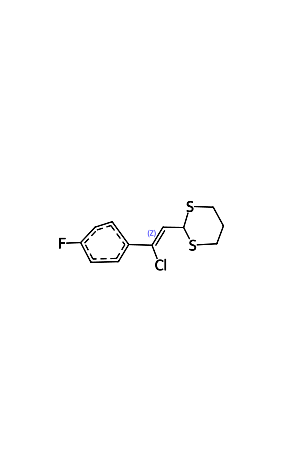 Fc1ccc(/C(Cl)=C/C2SCCCS2)cc1